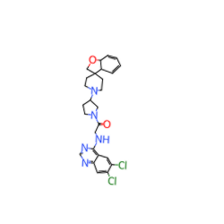 O=C(CNc1ncnc2cc(Cl)c(Cl)cc12)N1CCC(N2CCC3(CC2)COC2C=CC=CC23)C1